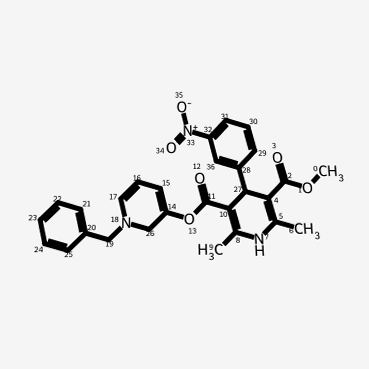 COC(=O)C1=C(C)NC(C)=C(C(=O)OC2=CC=CN(Cc3ccccc3)C2)C1c1cccc([N+](=O)[O-])c1